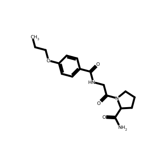 CCCOc1ccc(C(=O)NCC(=O)N2CCCC2C(N)=O)cc1